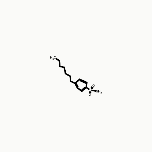 CCCCCCCc1ccc(S(N)(=O)=O)cc1